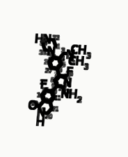 CN(C)Cc1cc(-c2cc(-c3cc4c(cc3F)C(=O)NCC4)c(N)nc2F)ccc1N1CCNCC1